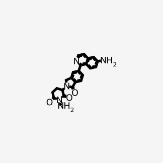 Nc1ccc2c(-c3ccc4c(c3)CN(C3CCC(=O)N(N)C3=O)C4=O)nccc2c1